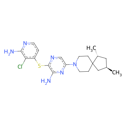 C[C@@H]1C[C@@H](C)C2(CCN(c3cnc(Sc4ccnc(N)c4Cl)c(N)n3)CC2)C1